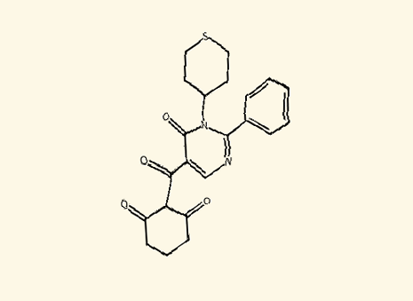 O=C1CCCC(=O)C1C(=O)c1cnc(-c2ccccc2)n(C2CCSCC2)c1=O